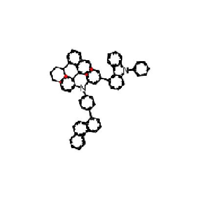 c1ccc(-n2c3ccccc3c3c(-c4cccc(N(c5ccc(-c6cccc7c6ccc6ccccc67)cc5)c5ccccc5-c5cccc6cccc(C7CCCCC7)c56)c4)cccc32)cc1